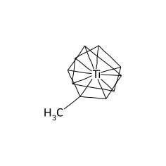 C[C]12[CH]3[CH]4[CH]5[CH]1[Ti]45321678[CH]2[CH]1[CH]6[CH]7[CH]28